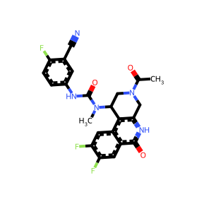 CC(=O)N1Cc2[nH]c(=O)c3cc(F)c(F)cc3c2C(N(C)C(=O)Nc2ccc(F)c(C#N)c2)C1